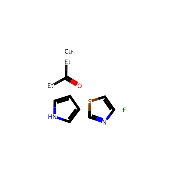 CCC(=O)CC.[Cu].[F].c1cc[nH]c1.c1cscn1